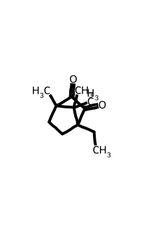 CCC12CCC(C)(C(=O)C1=O)C2(C)C